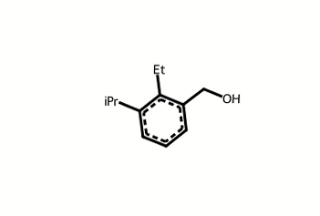 CCc1c(CO)cccc1C(C)C